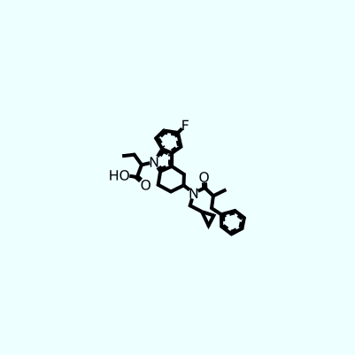 CCC(C(=O)O)n1c2c(c3cc(F)ccc31)CC(N(CC1CC1)C(=O)C(C)Cc1ccccc1)CC2